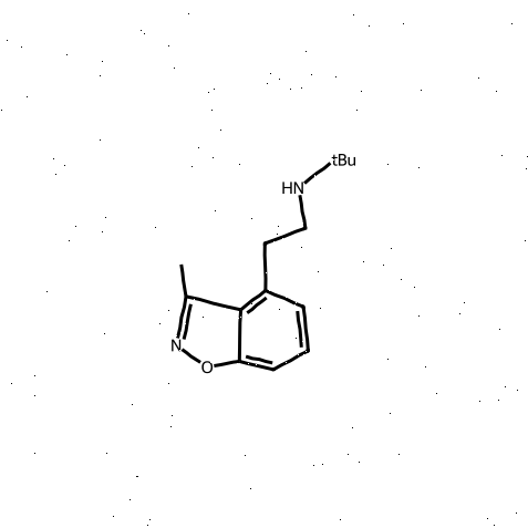 Cc1noc2cccc(CCNC(C)(C)C)c12